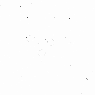 CNCCOc1ccc(C(C=C(C)c2ccc(O)cn2)c2ccc(O)cc2)cc1